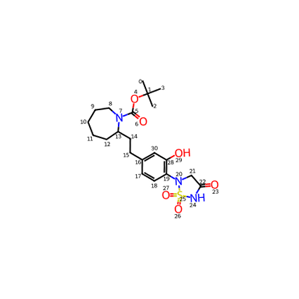 CC(C)(C)OC(=O)N1CCCCCC1CCc1ccc(N2CC(=O)NS2(=O)=O)c(O)c1